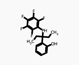 CCC(CC)(Pc1c(F)c(F)c(F)c(F)c1F)c1ccccc1O